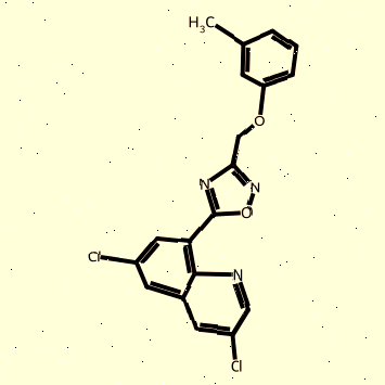 Cc1cccc(OCc2noc(-c3cc(Cl)cc4cc(Cl)cnc34)n2)c1